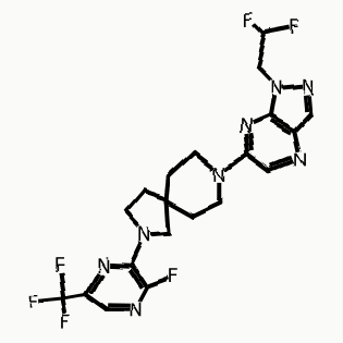 Fc1ncc(C(F)(F)F)nc1N1CCC2(CCN(c3cnc4cnn(CC(F)F)c4n3)CC2)C1